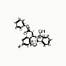 O=C(CC(c1ccc(F)cc1)N1C(O)c2ccccc2C1O)Oc1ccccc1